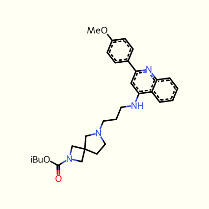 COc1ccc(-c2cc(NCCCN3CCC4(C3)CN(C(=O)OCC(C)C)C4)c3ccccc3n2)cc1